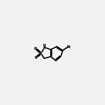 CCc1ccc2c(c1)NS(=O)(=O)C2